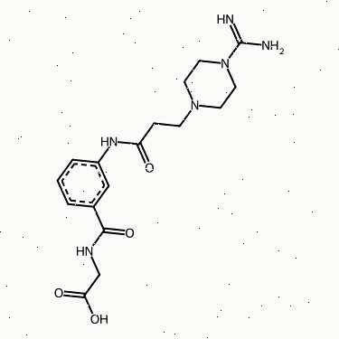 N=C(N)N1CCN(CCC(=O)Nc2cccc(C(=O)NCC(=O)O)c2)CC1